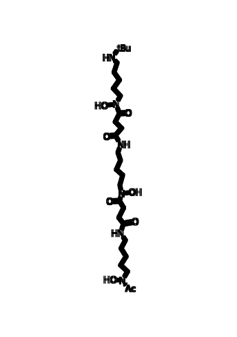 CC(=O)N(O)CCCCCNC(=O)CCC(=O)N(O)CCCCCNC(=O)CCC(=O)N(O)CCCCCNC(C)(C)C